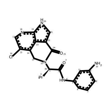 CC(C)[C@H](C(=O)Nc1cccc(N)c1)N1Cc2c(Cl)cnc3[nH]cc(c23)C1=O